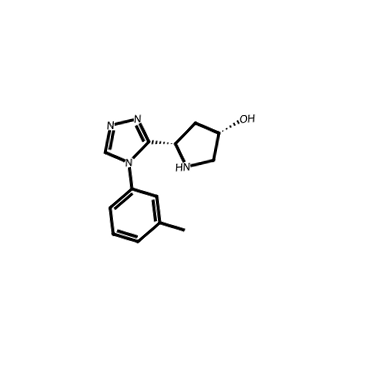 Cc1cccc(-n2cnnc2[C@@H]2C[C@H](O)CN2)c1